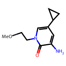 COCCn1cc(C2CC2)cc(N)c1=O